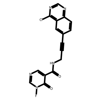 O=C(NCC#Cc1ccc2ncnc(Cl)c2c1)c1cncn(F)c1=O